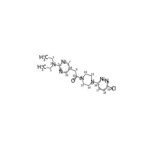 CCN(CC)c1ncc(CC(=O)N2CCN(c3ccc(Cl)nn3)CC2)cn1